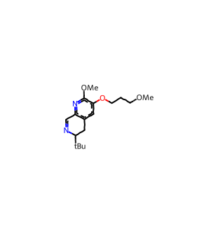 COCCCOc1cc2c(nc1OC)C=NC(C(C)(C)C)C2